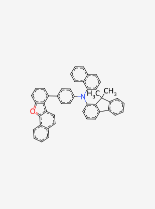 CC1(C)c2ccccc2-c2cccc(N(c3ccc(-c4cccc5oc6c7ccccc7ccc6c45)cc3)c3cccc4ccccc34)c21